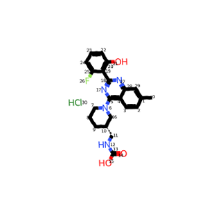 Cc1ccc2c(N3CCC[C@@H](CNC(=O)O)C3)nc(-c3c(O)cccc3F)nc2c1.Cl